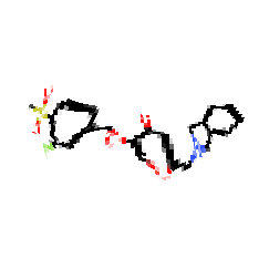 CS(=O)(=O)c1ccc(COc2coc(CN3Cc4ccccc4C3)cc2=O)cc1F